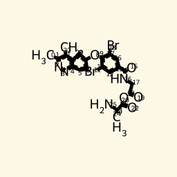 Cc1nnc2ccc(Oc3c(Br)cc(C(=O)NCC(=O)OC(=O)[C@H](C)N)cc3Br)cc2c1C